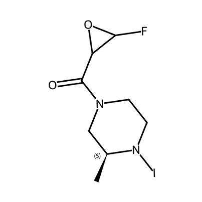 C[C@H]1CN(C(=O)C2OC2F)CCN1I